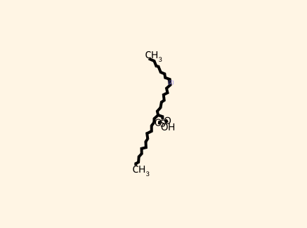 CCCCCCCC/C=C\CCCCCCCC(CCCCCCCCCCCCCC)CS(=O)(=O)O